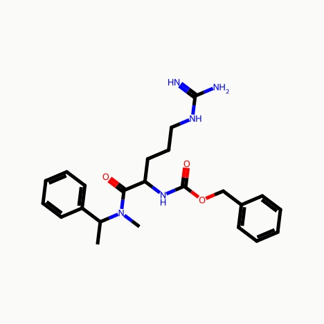 CC(c1ccccc1)N(C)C(=O)C(CCCNC(=N)N)NC(=O)OCc1ccccc1